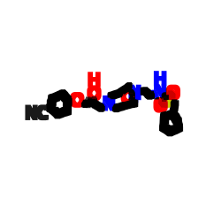 N#Cc1ccc(OC[C@@H](O)CN2CC3CN(CCNS(=O)(=O)Cc4ccccc4)CC(C2)O3)cc1